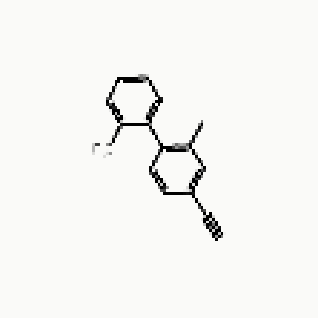 C#Cc1ccc(-c2ccccc2C(F)(F)F)c(C)c1